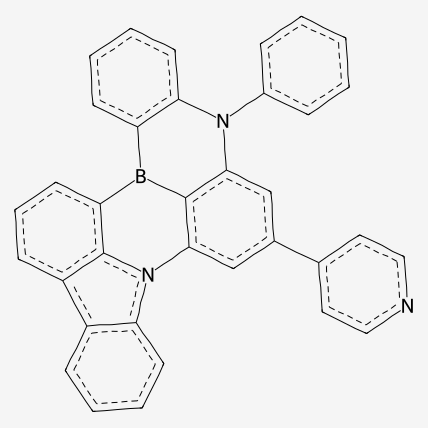 c1ccc(N2c3ccccc3B3c4c2cc(-c2ccncc2)cc4-n2c4ccccc4c4cccc3c42)cc1